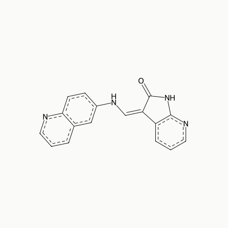 O=C1Nc2ncccc2C1=CNc1ccc2ncccc2c1